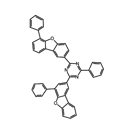 c1ccc(-c2nc(-c3ccc4oc5c(-c6ccccc6)cccc5c4c3)nc(-c3cc(-c4ccccc4)c4oc5ccccc5c4c3)n2)cc1